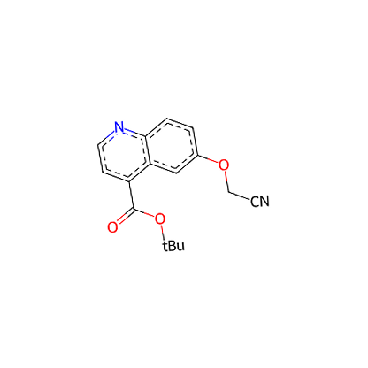 CC(C)(C)OC(=O)c1ccnc2ccc(OCC#N)cc12